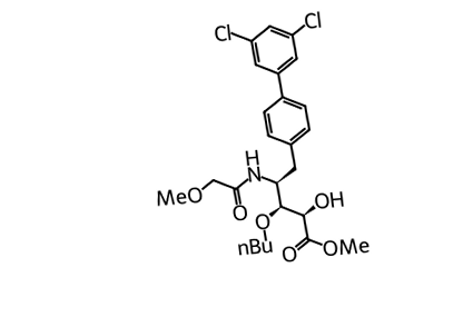 CCCCO[C@@H]([C@H](Cc1ccc(-c2cc(Cl)cc(Cl)c2)cc1)NC(=O)COC)[C@@H](O)C(=O)OC